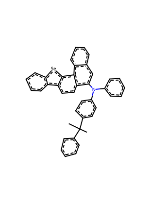 CC(C)(c1ccccc1)c1ccc(N(c2ccccc2)c2cc3ccccc3c3c2ccc2c4ccccc4[se]c23)cc1